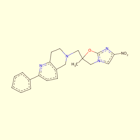 CC1(CN2CCc3nc(-c4ccccc4)ccc3C2)Cn2cc([N+](=O)[O-])nc2O1